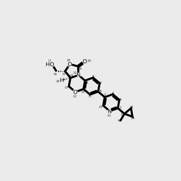 CC1(c2ccc(-c3ccc4c(c3)OC[C@H]3[C@H](CO)OC(=O)N43)cn2)CC1